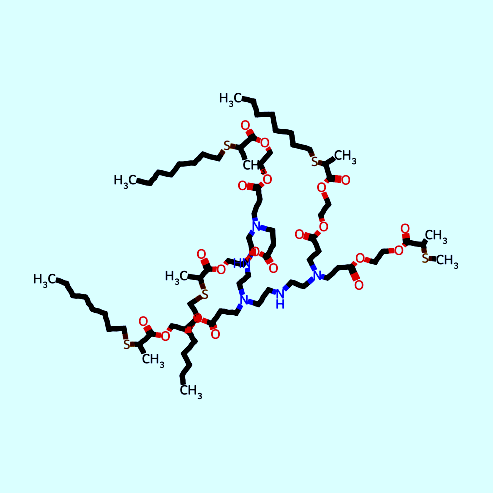 CCCCCCCCSC(C)C(=O)OCCOC(=O)CCN(CCNCCN(CCC(=O)OCCOC(=O)C(C)SC)CCC(=O)OCCOC(=O)C(C)SCCCCCCCC)CCNCCN(CCC(=O)OCCOC(=O)C(C)SCCCCCCCC)CCC(=O)OCCOC(=O)C(C)SCCCCCCCC